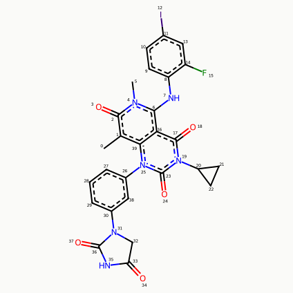 Cc1c(=O)n(C)c(Nc2ccc(I)cc2F)c2c(=O)n(C3CC3)c(=O)n(-c3cccc(N4CC(=O)NC4=O)c3)c12